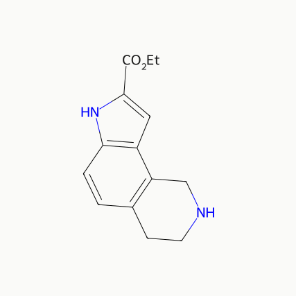 CCOC(=O)c1cc2c3c(ccc2[nH]1)CCNC3